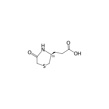 O=C(O)CC[C@H]1CSCC(=O)N1